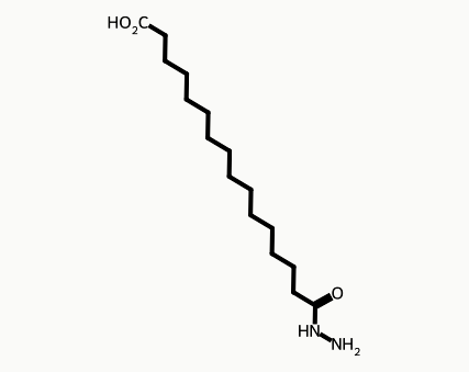 NNC(=O)CCCCCCCCCCCCCCC(=O)O